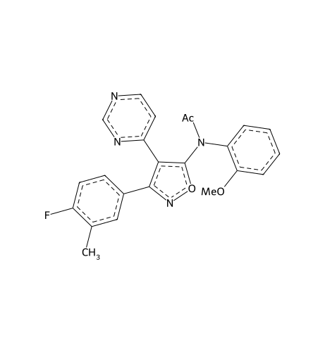 COc1ccccc1N(C(C)=O)c1onc(-c2ccc(F)c(C)c2)c1-c1ccncn1